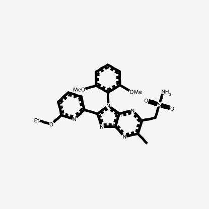 CCOc1cccc(-c2nc3nc(C)c(CS(N)(=O)=O)nc3n2-c2c(OC)cccc2OC)n1